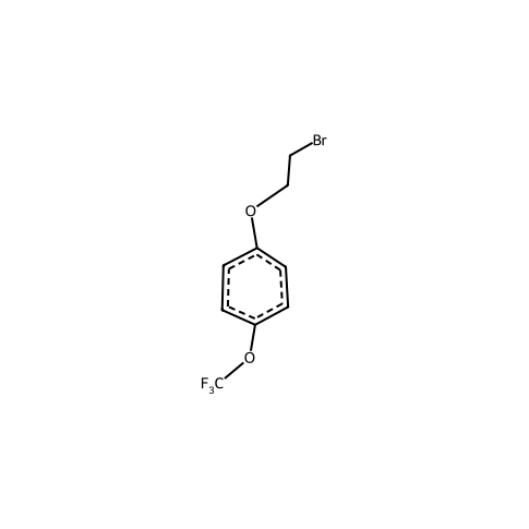 FC(F)(F)Oc1ccc(OCCBr)cc1